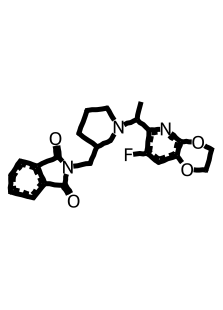 CC(c1nc2c(cc1F)OCCO2)N1CCCC(CN2C(=O)c3ccccc3C2=O)C1